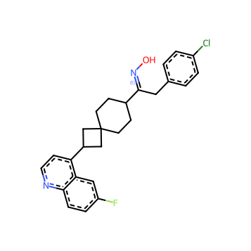 O/N=C(\Cc1ccc(Cl)cc1)C1CCC2(CC1)CC(c1ccnc3ccc(F)cc13)C2